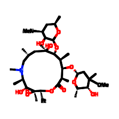 CC[C@H]1OC(=O)[C@H](C)[C@H](O[C@@H]2CC(C)(OC)[C@H](O)[C@H](C)O2)[C@H](C)[C@@H](O[C@@H]2O[C@H](C)C[C@H](NC)[C@@H]2O)[C@](C)(O)C[C@@H](C)CN(C)[C@H](C)[C@@H](O)[C@]1(C)O